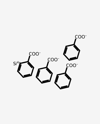 O=C([O-])c1ccccc1.O=C([O-])c1ccccc1.O=C([O-])c1ccccc1.O=C([O-])c1ccccc1.[Si+4]